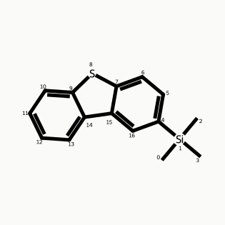 C[Si](C)(C)c1ccc2sc3ccccc3c2c1